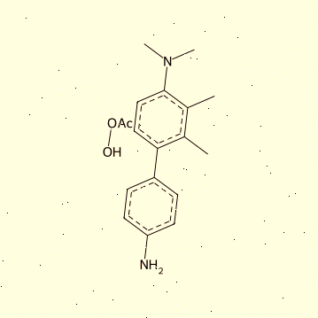 CC(=O)OO.Cc1c(-c2ccc(N)cc2)ccc(N(C)C)c1C